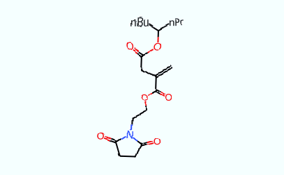 C=C(CC(=O)OC(CCC)CCCC)C(=O)OCCN1C(=O)CCC1=O